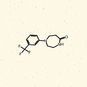 O=C1CCN(c2cccc(C(F)(F)F)c2)CCN1